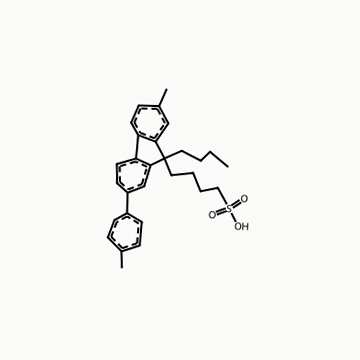 CCCCC1(CCCCS(=O)(=O)O)c2cc(C)ccc2-c2ccc(-c3ccc(C)cc3)cc21